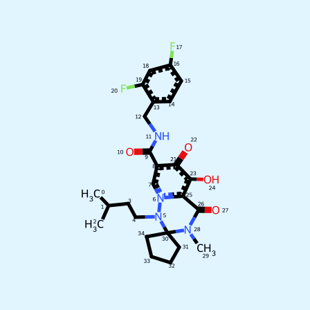 CC(C)CCN1n2cc(C(=O)NCc3ccc(F)cc3F)c(=O)c(O)c2C(=O)N(C)C12CCCC2